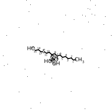 CCCCCCCCCCCCSCCCO.O=P(O)(O)O